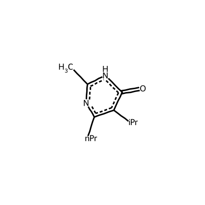 CCCc1nc(C)[nH]c(=O)c1C(C)C